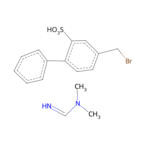 CN(C)C=N.O=S(=O)(O)c1cc(CBr)ccc1-c1ccccc1